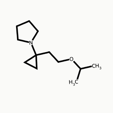 CC(C)OCCC1(N2CCCC2)CC1